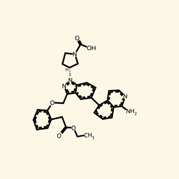 CCOC(=O)Cc1ccccc1OCc1nn([C@@H]2CCN(C(=O)O)C2)c2ccc(-c3cccc4c(N)nccc34)cc12